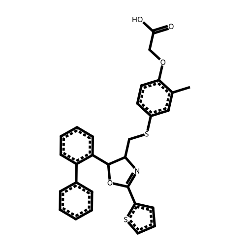 Cc1cc(SCC2N=C(c3cccs3)OC2c2ccccc2-c2ccccc2)ccc1OCC(=O)O